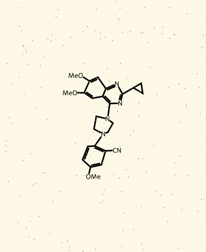 COc1ccc(N2CCN(c3nc(C4CC4)nc4cc(OC)c(OC)cc34)CC2)c(C#N)c1